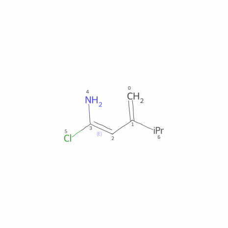 C=C(/C=C(\N)Cl)C(C)C